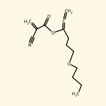 C=C=C(CCCOCCCC)OC(=O)C(=C)C#N